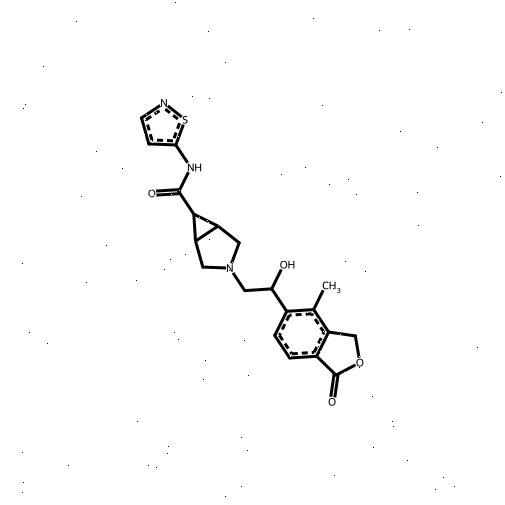 Cc1c(C(O)CN2CC3C(C2)C3C(=O)Nc2ccns2)ccc2c1COC2=O